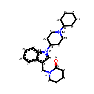 O=C1CCCCN1Cc1cn(C2CCN(C3CCCCC3)CC2)c2ccccc12